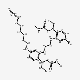 CCN(CC(=O)OC)c1ccc(F)cc1OCCOc1cc(OCCCCCCN=[N+]=[N-])ccc1N(CC)CC(=O)OC